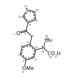 COc1ccc(CC(=O)c2ccsc2)c(N(C(=O)O)C(C)(C)C)c1